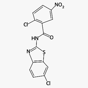 O=C(Nc1nc2ccc(Cl)cc2s1)c1cc([N+](=O)[O-])ccc1Cl